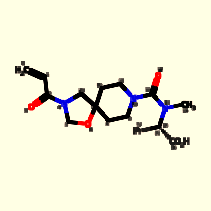 C=CC(=O)N1COC2(CCN(C(=O)N(C)[C@H](C(=O)O)C(C)C)CC2)C1